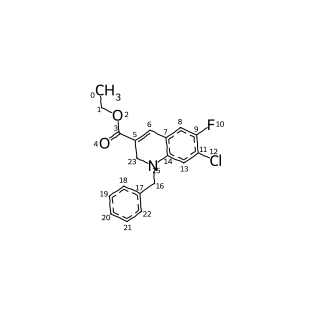 CCOC(=O)C1=Cc2cc(F)c(Cl)cc2N(Cc2ccccc2)C1